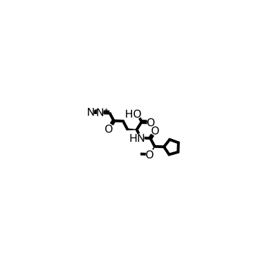 CO[C@H](C(=O)N[C@@H](CCC(=O)C=[N+]=[N-])C(=O)O)C1CCCC1